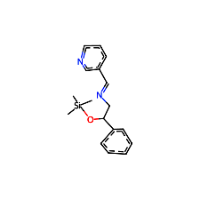 C[Si](C)(C)OC(CN=Cc1cccnc1)c1ccccc1